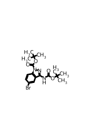 CC(C)(C)OC(=O)Nc1nn(C(=O)OC(C)(C)C)c2ccc(Br)cc12